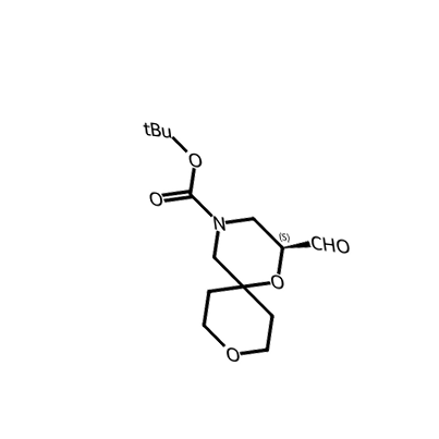 CC(C)(C)OC(=O)N1C[C@@H](C=O)OC2(CCOCC2)C1